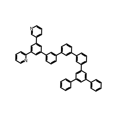 c1ccc(-c2cc(-c3ccccc3)cc(-c3cccc(-c4cccc(-c5cccc(-c6cc(-c7cccnc7)cc(-c7ccccn7)c6)c5)c4)c3)c2)cc1